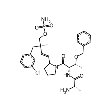 C[C@H](N)C(=O)N[C@H](C(=O)N1CCCC1/C=C/[C@](C)(COS(N)(=O)=O)Cc1cccc(Cl)c1)[C@@H](C)OCc1ccccc1